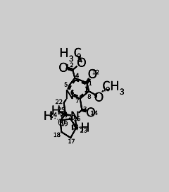 COC(=O)c1cn2c(c(OC)c1=O)C(=O)N1[C@H]3CC[C@H](C3)[C@@H]1C2